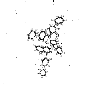 c1ccc(-c2ccc(-c3nc(-n4c5ccccc5c5cc6c7c(c54)Oc4cc(-c5ccccc5)ccc4N7c4ccc(-c5ccccc5)cc4O6)nc4ccccc34)cc2)cc1